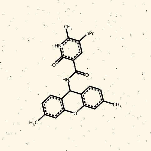 CCCc1cc(C(=O)NC2c3ccc(C)cc3Oc3cc(C)ccc32)c(=O)[nH]c1C(F)(F)F